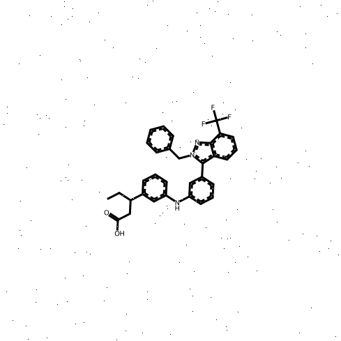 CCC(CC(=O)O)c1cccc(Nc2cccc(-c3c4cccc(C(F)(F)F)c4nn3Cc3ccccc3)c2)c1